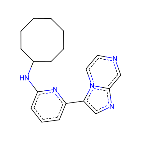 c1cc(NC2CCCCCCC2)nc(-c2cnc3cnccn23)c1